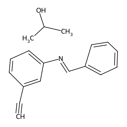 C#Cc1cccc(N=Cc2ccccc2)c1.CC(C)O